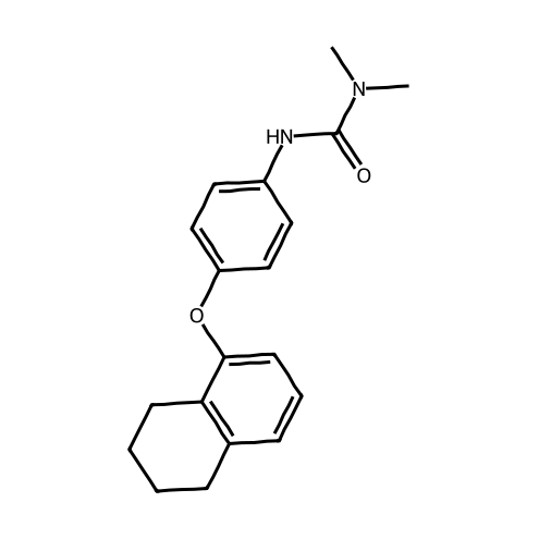 CN(C)C(=O)Nc1ccc(Oc2cccc3c2CCCC3)cc1